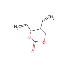 C=CC1COC(=O)OC1C=C